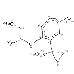 COCC(C)Oc1ccc(C)cc1C1(C(=O)O)CC1